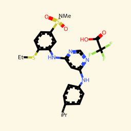 CCSc1ccc(S(=O)(=O)NC)cc1Nc1cc(Nc2ccc(C(C)C)cc2)ncn1.O=C(O)C(F)(F)F